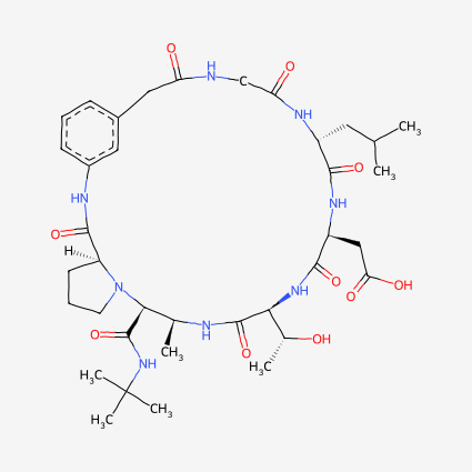 CC(C)C[C@H]1NC(=O)CNC(=O)Cc2cccc(c2)NC(=O)[C@@H]2CCCN2[C@H](C(=O)NC(C)(C)C)[C@H](C)NC(=O)[C@H]([C@@H](C)O)NC(=O)[C@H](CC(=O)O)NC1=O